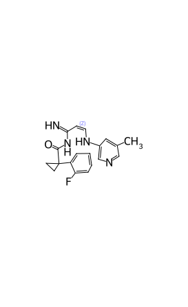 Cc1cncc(N/C=C\C(=N)NC(=O)C2(c3ccccc3F)CC2)c1